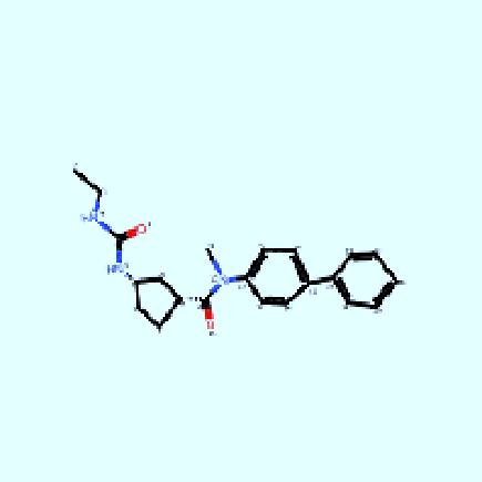 CCNC(=O)N[C@H]1CC[C@@H](C(=O)N(C)c2ccc(-c3ccccc3)cc2)C1